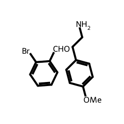 COc1ccc(CCN)cc1.O=Cc1ccccc1Br